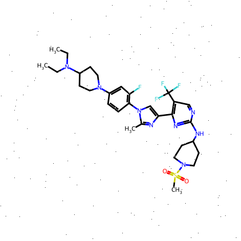 CCN(CC)C1CCN(c2ccc(-n3cc(-c4nc(NC5CCN(S(C)(=O)=O)CC5)ncc4C(F)(F)F)nc3C)c(F)c2)CC1